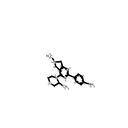 CC1COCCN1c1nc(-c2ccc(N)cc2)nc2c1CN(C)C2